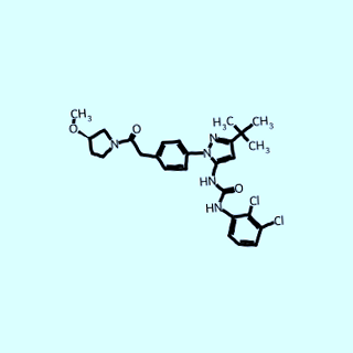 CO[C@@H]1CCN(C(=O)Cc2ccc(-n3nc(C(C)(C)C)cc3NC(=O)Nc3cccc(Cl)c3Cl)cc2)C1